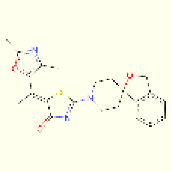 C/C(=C1/SC(N2CCC3(CC2)OCc2ccccc23)=NC1=O)c1oc(C)nc1C